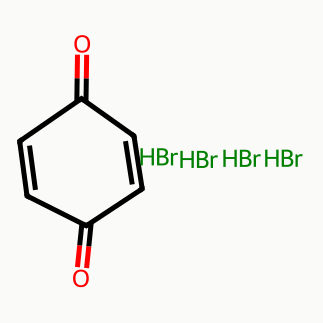 Br.Br.Br.Br.O=C1C=CC(=O)C=C1